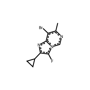 Cc1ncn2c(F)c(C3CC3)nc2c1Br